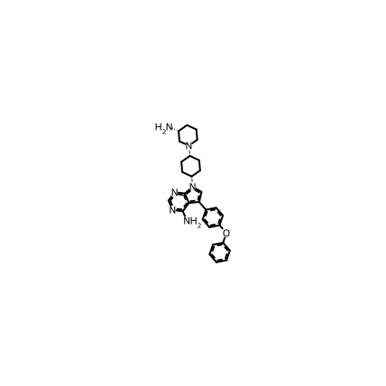 Nc1ncnc2c1c(-c1ccc(Oc3ccccc3)cc1)cn2[C@H]1CC[C@@H](N2CCC[C@@H](N)C2)CC1